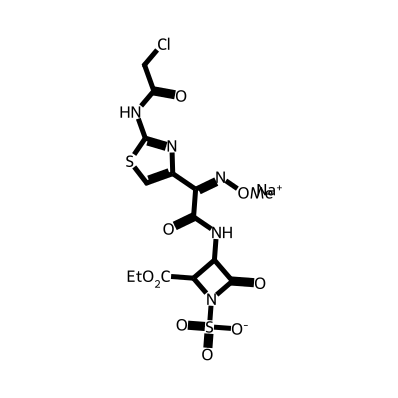 CCOC(=O)C1C(NC(=O)C(=NOC)c2csc(NC(=O)CCl)n2)C(=O)N1S(=O)(=O)[O-].[Na+]